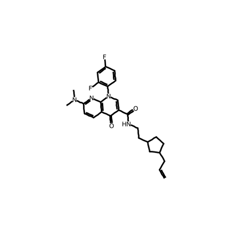 C=CCC1CCC(CCNC(=O)c2cn(-c3ccc(F)cc3F)c3nc(N(C)C)ccc3c2=O)C1